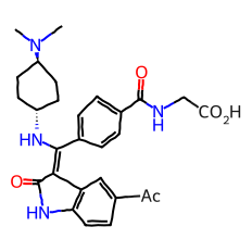 CC(=O)c1ccc2c(c1)/C(=C(/N[C@H]1CC[C@H](N(C)C)CC1)c1ccc(C(=O)NCC(=O)O)cc1)C(=O)N2